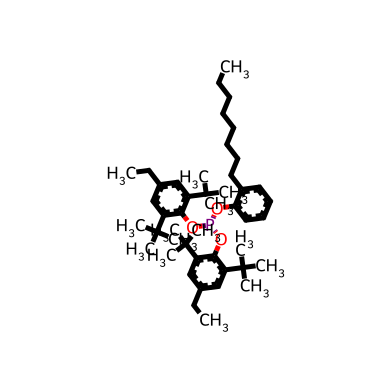 CCCCCCCCc1ccccc1OP(Oc1c(C(C)(C)C)cc(CC)cc1C(C)(C)C)Oc1c(C(C)(C)C)cc(CC)cc1C(C)(C)C